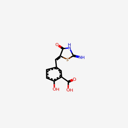 N=C1NC(=O)C(=Cc2ccc(O)c(C(=O)O)c2)S1